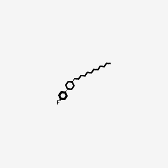 CCCCCCCCCCCC[C@H]1CC[C@H](c2ccc(F)cc2)CC1